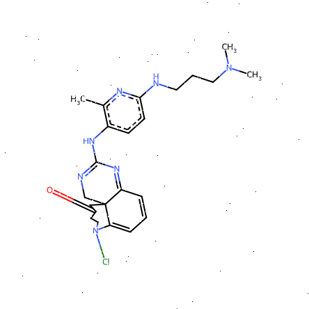 Cc1nc(NCCCN(C)C)ccc1NC1=NCC23CC(=O)CCN(Cl)C2=CC=CC3=N1